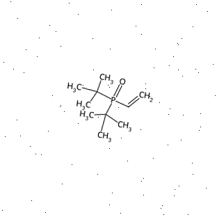 C=CP(=O)(C(C)(C)C)C(C)(C)C